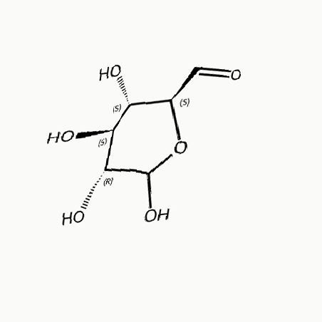 O=[C][C@H]1OC(O)[C@H](O)[C@@H](O)[C@@H]1O